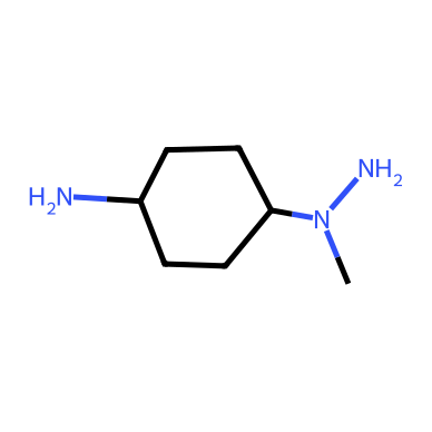 CN(N)C1CCC(N)CC1